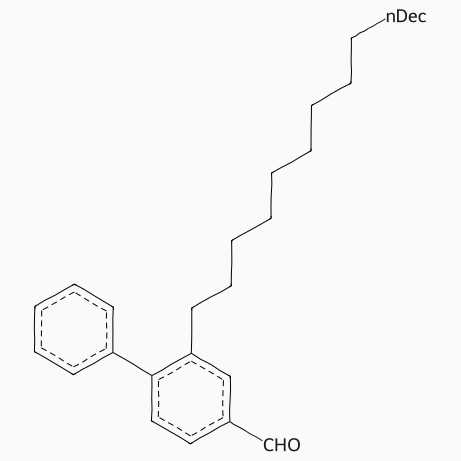 CCCCCCCCCCCCCCCCCCCc1cc(C=O)ccc1-c1ccccc1